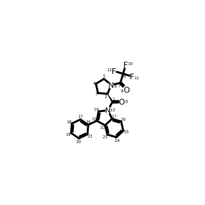 O=C([C@H]1CCCN1C(=O)C(F)(F)F)n1cc(-c2ccccc2)c2ccccc21